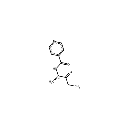 CCC(=O)[C@@H](C)NC(=O)c1ccncc1